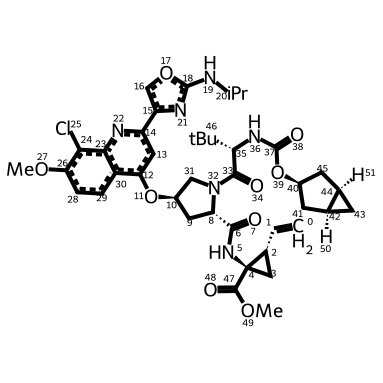 C=C[C@@H]1C[C@]1(NC(=O)[C@@H]1C[C@@H](Oc2cc(-c3coc(NC(C)C)n3)nc3c(Cl)c(OC)ccc23)CN1C(=O)[C@@H](NC(=O)O[C@@H]1C[C@@H]2C[C@@H]2C1)C(C)(C)C)C(=O)OC